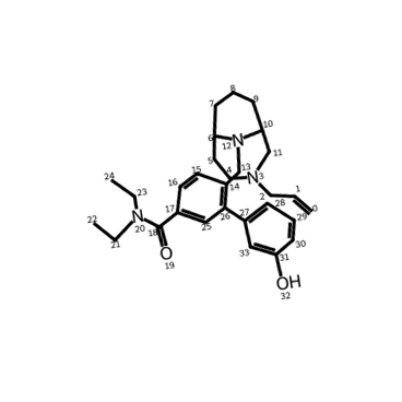 C=CCN1CCC2CCCC(C1)N2Cc1ccc(C(=O)N(CC)CC)cc1-c1cccc(O)c1